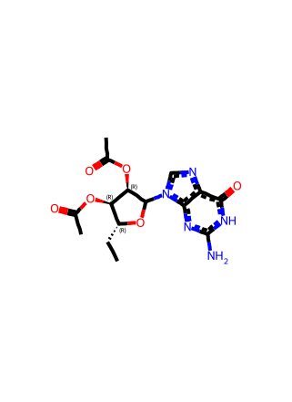 CC[C@H]1OC(n2cnc3c(=O)[nH]c(N)nc32)[C@H](OC(C)=O)[C@@H]1OC(C)=O